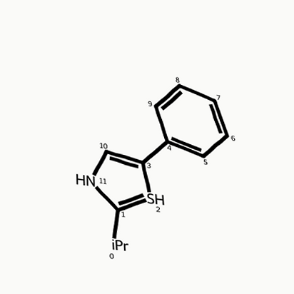 CC(C)C1=[SH]C(c2ccccc2)=CN1